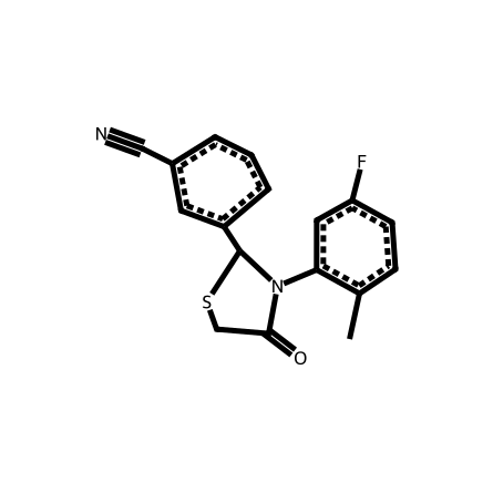 Cc1ccc(F)cc1N1C(=O)CSC1c1cccc(C#N)c1